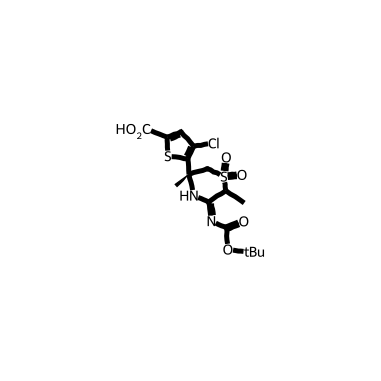 CC1/C(=N\C(=O)OC(C)(C)C)N[C@](C)(c2sc(C(=O)O)cc2Cl)CS1(=O)=O